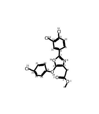 COC(=O)Cc1nc(-c2ccc(Cl)c(Cl)c2)oc1Oc1ccc(Cl)cc1